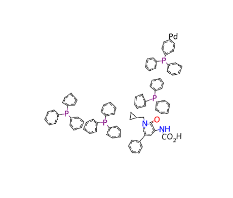 O=C(O)Nc1cc(-c2ccccc2)cn(CC2CC2)c1=O.[Pd].c1ccc(P(c2ccccc2)c2ccccc2)cc1.c1ccc(P(c2ccccc2)c2ccccc2)cc1.c1ccc(P(c2ccccc2)c2ccccc2)cc1.c1ccc(P(c2ccccc2)c2ccccc2)cc1